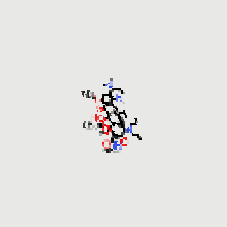 C=CCN(CC=C)[C@@H]1c2onc(OCCCC)c2C(=O)[C@@]2(O[Si](C)(C)C(C)(C)C)C(O)=C3C(=O)c4c(OCCCC)cc5c(c4C[C@H]3C[C@@H]12)N(C)CCC5N(C)C